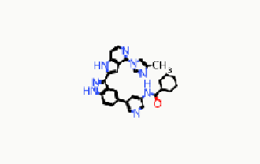 Cc1cn(-c2nccc3[nH]c(-c4n[nH]c5ccc(-c6cncc(NC(=O)C7CCCCC7)c6)cc45)cc23)cn1